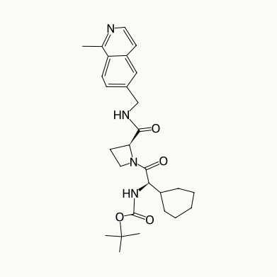 Cc1nccc2cc(CNC(=O)[C@@H]3CCN3C(=O)[C@H](NC(=O)OC(C)(C)C)C3CCCCC3)ccc12